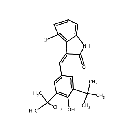 CC(C)(C)c1cc(C=C2C(=O)Nc3cccc(Cl)c32)cc(C(C)(C)C)c1O